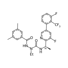 CCN(NC(=O)c1cc(C)cc(C)c1)C(=O)N[C@H](C)c1ncc(-c2cccc(F)c2C(F)(F)F)cc1F